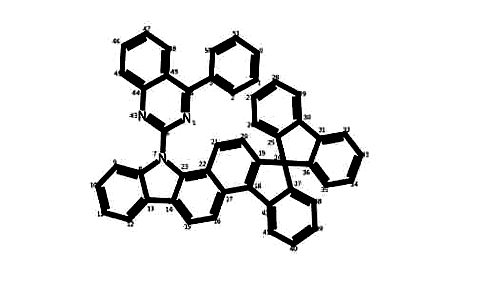 c1ccc(-c2nc(-n3c4ccccc4c4ccc5c6c(ccc5c43)C3(c4ccccc4-c4ccccc43)c3ccccc3-6)nc3ccccc23)cc1